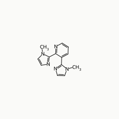 Cn1ccnc1-c1cccnc1-c1nccn1C